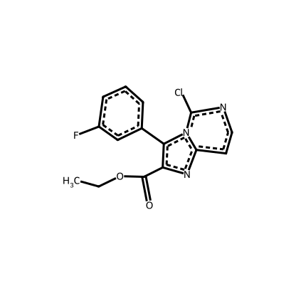 CCOC(=O)c1nc2ccnc(Cl)n2c1-c1cccc(F)c1